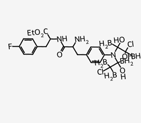 BC(B)(Cl)C(B)(O)N(c1ccc(CC(N)C(=O)NC(Cc2ccc(F)cc2)C(=O)OCC)cc1)C(B)(O)C(B)(O)Cl